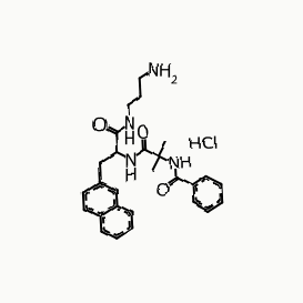 CC(C)(NC(=O)c1ccccc1)C(=O)NC(Cc1ccc2ccccc2c1)C(=O)NCCCN.Cl